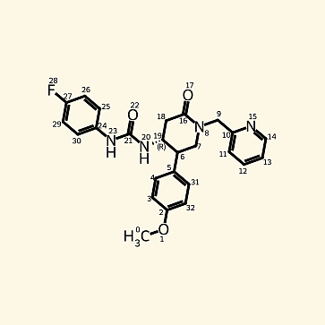 COc1ccc(C2CN(Cc3ccccn3)C(=O)C[C@H]2NC(=O)Nc2ccc(F)cc2)cc1